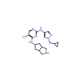 Clc1cnc(Nc2cnn(CC3CC3)c2)nc1NC1CC2CNCC2C1